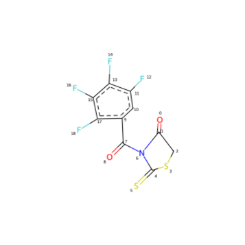 O=C1CSC(=S)N1C(=O)c1cc(F)c(F)c(F)c1F